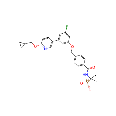 O=C(NC1([SH](=O)=O)CC1)c1ccc(COc2cc(F)cc(-c3ccc(OCC4CC4)nc3)c2)cc1